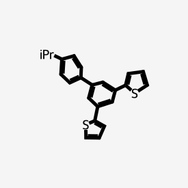 CC(C)c1ccc(-c2cc(-c3cccs3)cc(-c3cccs3)c2)cc1